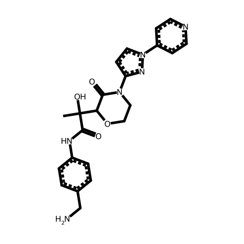 CC(O)(C(=O)Nc1ccc(CN)cc1)C1OCCN(c2ccn(-c3ccncc3)n2)C1=O